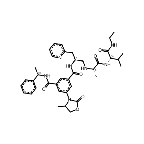 CCNC(=O)[C@@H](NC(=O)[C@H](C)NC[C@H](Cc1ccccn1)NC(=O)c1cc(C(=O)N[C@H](C)c2ccccc2)cc(N2C(=O)OCC2C)c1)C(C)C